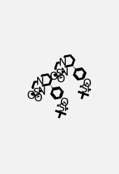 CC(C)(C)[Si](C)(C)Oc1ccc([C@H]2CCCN3CCS(=O)(=O)N=C23)cc1.CC(C)(C)[Si](C)(C)Oc1ccc([C@H]2CCCN3CCS(=O)(=O)N=C23)cc1